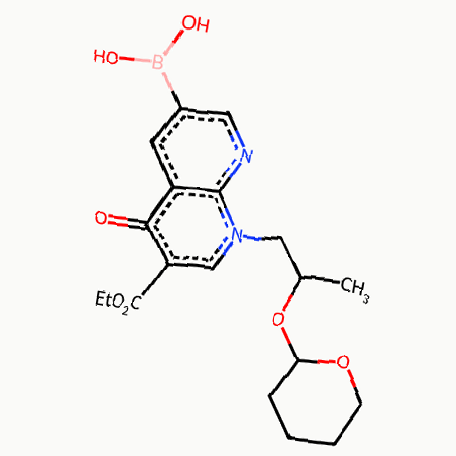 CCOC(=O)c1cn(CC(C)OC2CCCCO2)c2ncc(B(O)O)cc2c1=O